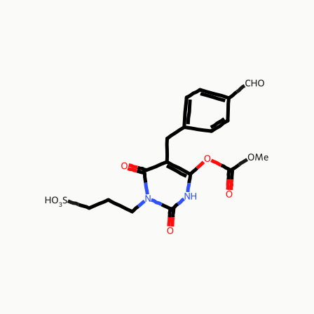 COC(=O)Oc1[nH]c(=O)n(CCCS(=O)(=O)O)c(=O)c1Cc1ccc(C=O)cc1